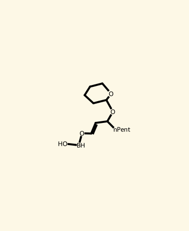 CCCCCC(/C=C/OBO)OC1CCCCO1